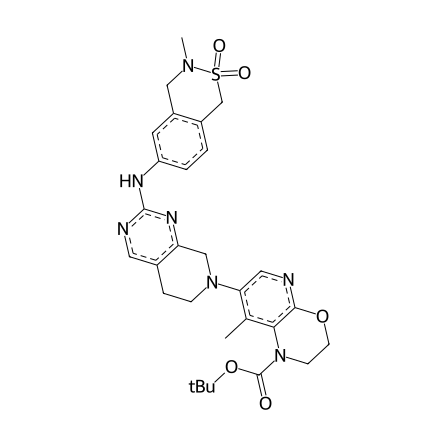 Cc1c(N2CCc3cnc(Nc4ccc5c(c4)CN(C)S(=O)(=O)C5)nc3C2)cnc2c1N(C(=O)OC(C)(C)C)CCO2